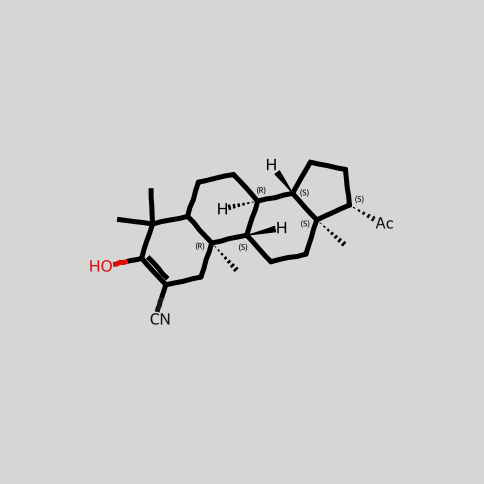 CC(=O)[C@H]1CC[C@H]2[C@@H]3CCC4C(C)(C)C(O)=C(C#N)C[C@]4(C)[C@H]3CC[C@]12C